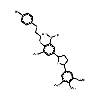 CCCN(CCC)c1cc(C2CCC(c3cc(OC)c(OC)c(OC)c3)O2)cc(OC)c1OCCSc1ccc(Br)cc1